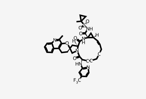 Cc1nc2ccccc2c2c1O[C@]1(CC2)C[C@H]2C(=O)N[C@]3(C(=O)NS(=O)(=O)C4(C)CC4)C[C@H]3C=CCCCCC[C@H](Nc3cc(C(F)(F)F)ccn3)C(=O)N2C1